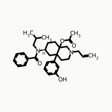 C=CCN1CCC2(c3cccc(O)c3)C[C@@H](N(CC(C)C)C(=O)c3ccccc3)CCC2(OC(C)=O)C1